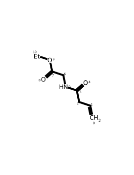 C=CCC(=O)NCC(=O)OCC